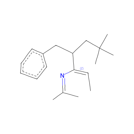 C/C=C(\N=C(C)C)C(Cc1ccccc1)CC(C)(C)C